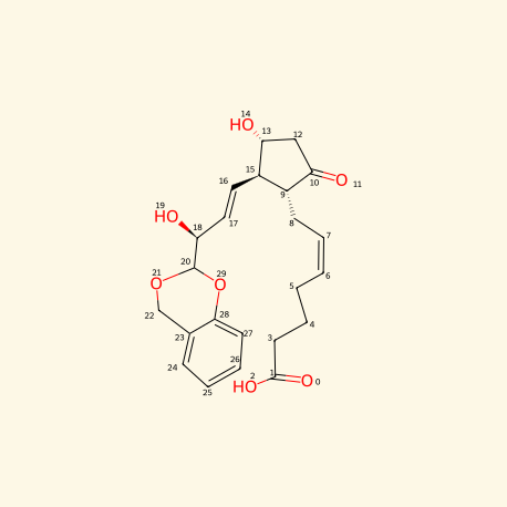 O=C(O)CCC/C=C\C[C@H]1C(=O)C[C@@H](O)[C@@H]1/C=C/[C@H](O)C1OCc2ccccc2O1